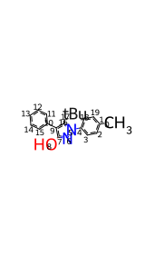 Cc1ccc(-n2nc(O)c(-c3ccccc3)c2C(C)(C)C)cc1